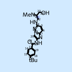 CN/C(=C\Nc1ccc2nc(NC(=O)c3ccc(C(C)(C)C)cc3)cn2n1)CO